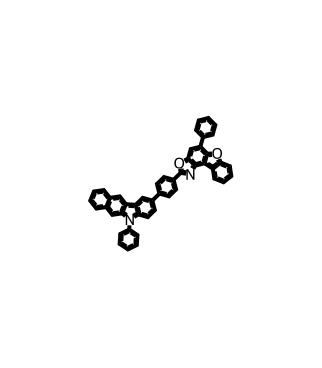 c1ccc(-c2cc3oc(-c4ccc(-c5ccc6c(c5)c5cc7ccccc7cc5n6-c5ccccc5)cc4)nc3c3c2oc2ccccc23)cc1